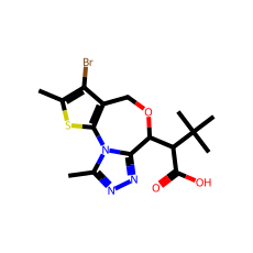 Cc1sc2c(c1Br)COC(C(C(=O)O)C(C)(C)C)c1nnc(C)n1-2